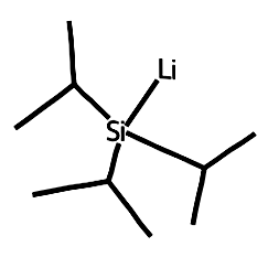 [Li][Si](C(C)C)(C(C)C)C(C)C